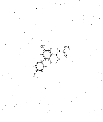 CC(=O)OC1CCCc2c(-c3ccc(F)cc3)cc(Cl)nc21